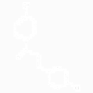 O=C(/C=C/c1ccc(Cl)cc1)c1ccc(O)cc1